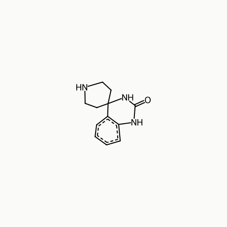 O=C1Nc2ccccc2C2(CCNCC2)N1